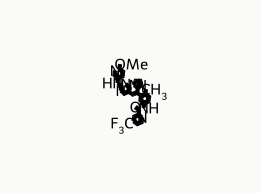 COc1ccc(Nc2ncc3c(n2)N2CCN=C2C(c2cc(NC(=O)c4cc(C(F)(F)F)ccn4)ccc2C)=C3)cn1